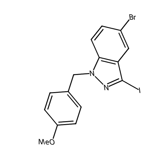 COc1ccc(Cn2nc(I)c3cc(Br)ccc32)cc1